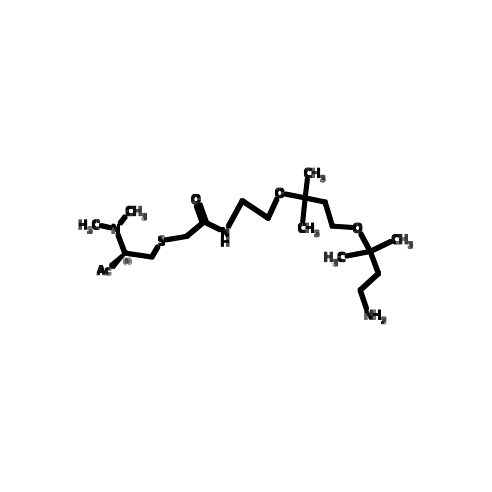 CC(=O)[C@H](CSCC(=O)NCCOC(C)(C)CCOC(C)(C)CCN)N(C)C